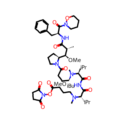 CC[C@H](C)[C@@H]([C@@H](CC(=O)N1CCC[C@H]1[C@H](OC)[C@@H](C)C(=O)N[C@@H](Cc1ccccc1)C(=O)N1CCCCO1)OC)N(C)[C@H](C(=O)NC(=O)[C@H](C(C)C)N(C)CCCC(=O)ON1C(=O)CCC1=O)C(C)C